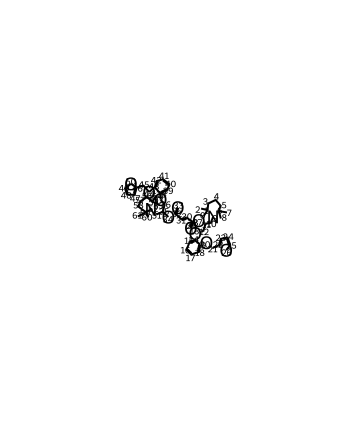 CC1(C)CCCC(C)(C)N1CC(COc1ccccc1OCc1ccco1)OC(=O)/C=C/C(=O)OC(COc1ccccc1OCc1ccco1)CN1C(C)(C)CCCC1(C)C